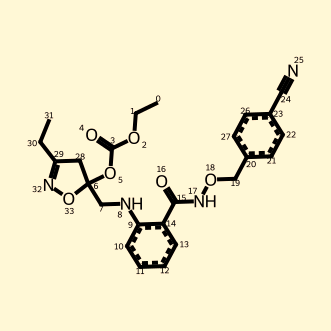 CCOC(=O)OC1(CNc2ccccc2C(=O)NOCc2ccc(C#N)cc2)CC(CC)=NO1